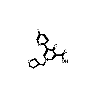 O=C(O)c1cn(CC2CCOC2)cc(-c2ccc(F)cn2)c1=O